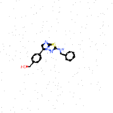 OCc1ccc(-c2cnc3sc(NCc4ccccc4)nn23)cc1